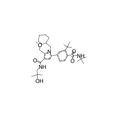 COCc1c(C(=O)NCC(C)(C)O)cc(-c2ccc(S(=O)(=O)NC(C)(C)C)c(C(C)(C)C)c2)n1CC1CCCCC1